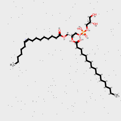 CCCCCC/C=C\CCCCCCCC(=O)OC[C@H](COP(=O)(O)OC[C@@H](O)CO)OC(=O)CCCCCCCCCCCCCCCC